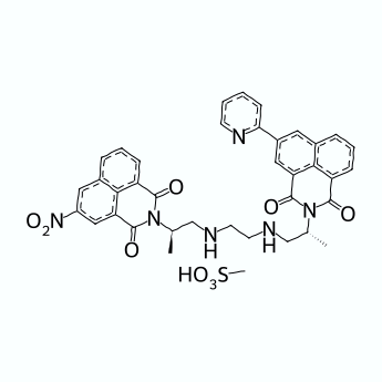 CS(=O)(=O)O.C[C@H](CNCCNC[C@@H](C)N1C(=O)c2cccc3cc([N+](=O)[O-])cc(c23)C1=O)N1C(=O)c2cccc3cc(-c4ccccn4)cc(c23)C1=O